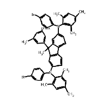 CCCCCCc1cc(C)cc(C2(C)c3cc(N(c4ccc(Br)cc4)c4c(C)cc(C)cc4C)ccc3-c3ccc(N(c4ccc(Br)cc4)c4c(C)cc(C)cc4C)cc32)c1